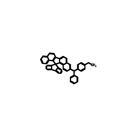 CCc1ccc(N(c2ccccc2)c2ccc3c4c(ccc3c2)-c2ccc3ccccc3c2C42c3ccccc3-c3ccccc32)cc1